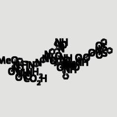 COc1ccc(C#CCNC2(C)CCN(C3CCN(c4nc([C@@](COCNC(=O)CNC(=O)[C@H](Cc5ccccc5)NC(=O)CNC(=O)CNC(=O)CCOCCOCCN5C(=O)C(Sc6ccccc6)=C(Sc6ccccc6)C5=O)(OC5CC5)c5ccccc5)c5cc(-c6cn(C)c(=O)c7[nH]ccc67)ccc5n4)CC3)CC2)cc1-n1ccc(=O)n(CNC(=O)[C@@H](CC(N)=O)CC(=O)O)c1=O